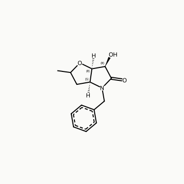 CC1C[C@H]2[C@@H](O1)[C@@H](O)C(=O)N2Cc1ccccc1